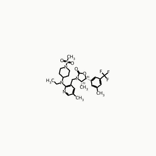 CCN(c1ncc(C)cc1CN1C(=O)O[C@H](c2cc(C)cc(C(F)(F)F)c2)[C@@H]1C)C1CCN(S(C)(=O)=O)CC1